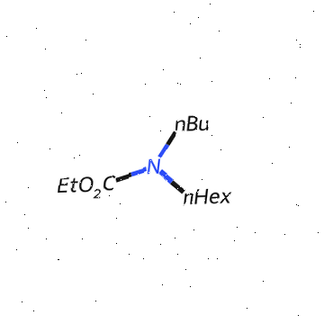 CCCCCCN(CCCC)C(=O)OCC